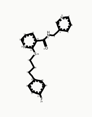 O=C(NCc1cccnc1)c1cccnc1SCCCc1ccc(F)cc1